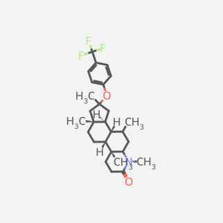 CC1CC2N(C)C(=O)CC[C@]2(C)[C@@H]2CC[C@]3(C)CC(C)(Oc4ccc(C(F)(F)F)cc4)C[C@H]3[C@H]12